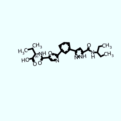 CCC(CC)NC(=O)c1cc(-c2cccc(-c3ncc(C(=O)N[C@@H](C(=O)O)C(C)C)o3)c2)n[nH]1